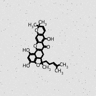 CC(C)=CCCC1(C)Oc2c(O)cc(O)c3c2C1Cc1c-3oc2cc3c(c(O)c2c1=O)C=CC(C)(C)O3